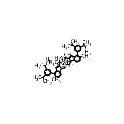 Cc1ccc2c(c1-c1cc(C(C)C)cc(C(C)C)c1)C=C(C(C)(C)C)C2C[SiH2]CC1C(C(C)(C)C)=Cc2c1ccc(C)c2-c1cc(C(C)C)cc(C(C)C)c1